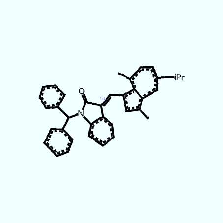 Cc1cc(/C=C2/C(=O)N(C(c3ccccc3)c3ccccc3)c3ccccc32)c2c(C)ccc(C(C)C)cc1-2